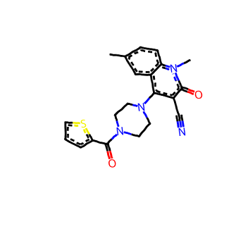 Cc1ccc2c(c1)c(N1CCN(C(=O)c3cccs3)CC1)c(C#N)c(=O)n2C